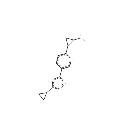 O=C(O)NC1CC1c1ccc(-c2nnc(C3CC3)o2)cn1